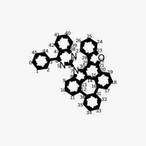 c1ccc(-c2nc(-n3c4cccc5c4c4c6c(cccc6c6oc7ccccc7c6c43)-c3ccccc3-5)nc3ccccc23)cc1